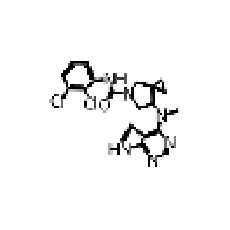 CN(c1ncnc2[nH]ccc12)C1CN(C(=O)Nc2cccc(Cl)c2Cl)CC12CC2